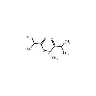 CC(C)C(=O)O[C@@H](C)C(=O)C(C)C